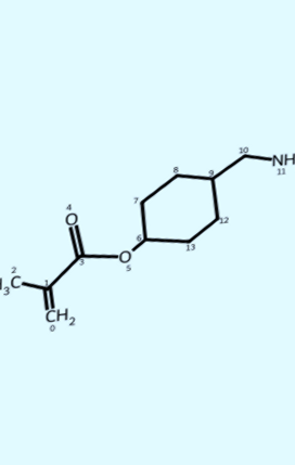 C=C(C)C(=O)OC1CCC(CN)CC1